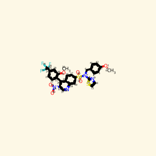 COc1ccc(CN(c2nccs2)S(=O)(=O)c2ccc3c(-c4ccc(C(F)(F)F)cc4OC)c([N+](=O)[O-])cnc3c2)cc1